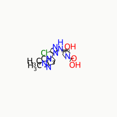 CC(C)(C)n1cnc2ccc(-c3nc(N[C@@H]4CCN(C(=O)CO)C[C@H]4O)ncc3Cl)nc21